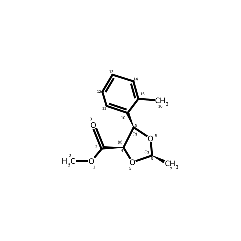 COC(=O)[C@@H]1O[C@H](C)O[C@@H]1c1ccccc1C